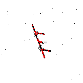 CCCCCCCCCCOC(CCC(=O)OCCCCCCCN(CCCCO)CCCCCOC(=O)CCC(OCCCCCCCCCC)OCCCCCCCCCC)OCCCCCCCCCC